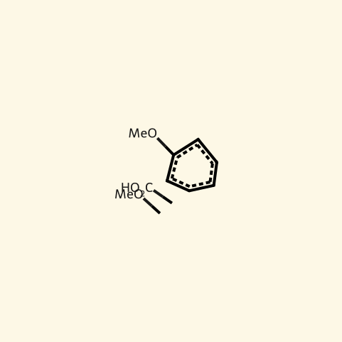 CC(=O)O.COC.COc1ccccc1